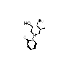 CC(CN(CCO)n1ccccc1=O)CC(C)(C)C